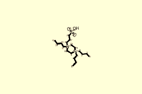 CCCC[N+]1(CCCC)CC[N+](CCCC)(CCCS(=O)(=O)O)CC1